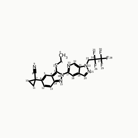 CCSc1c2cc(C3(C#N)CC3)ccc2nn1-c1cc2cnn(CC(F)(F)C(F)(F)F)c2cn1